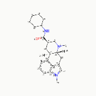 CN1C[C@H](C(=O)NC2CCCCC2)C[C@@H]2c3cccc4c3c(cn4C)C[C@H]21